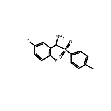 Cc1ccc(S(=O)(=O)C(N)c2cc(F)ccc2F)cc1